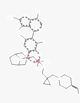 C[C@@H](O)CN1CC2CCC(C1)N2c1nc(OCC2(CN3CCC(=CF)CC3)CC2)nc2c(F)c(-c3ncc(F)c4sc(N)c(C#N)c34)c(Cl)cc12